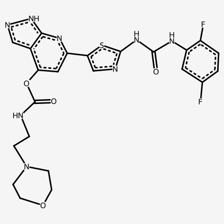 O=C(Nc1ncc(-c2cc(OC(=O)NCCN3CCOCC3)c3cn[nH]c3n2)s1)Nc1cc(F)ccc1F